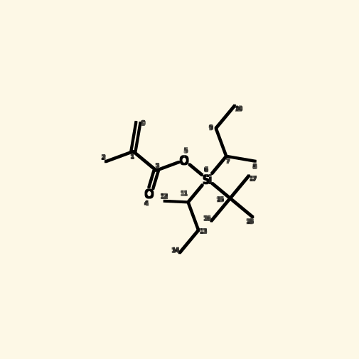 C=C(C)C(=O)O[Si](C(C)CC)(C(C)CC)C(C)(C)C